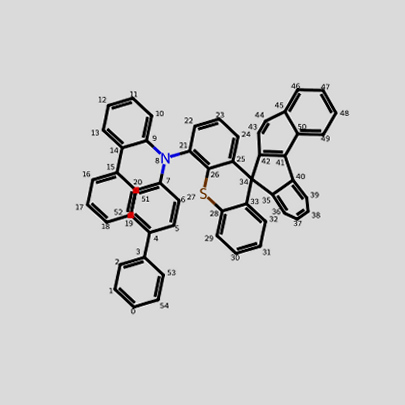 c1ccc(-c2ccc(N(c3ccccc3-c3ccccc3)c3cccc4c3Sc3ccccc3C43c4ccccc4-c4c3ccc3ccccc43)cc2)cc1